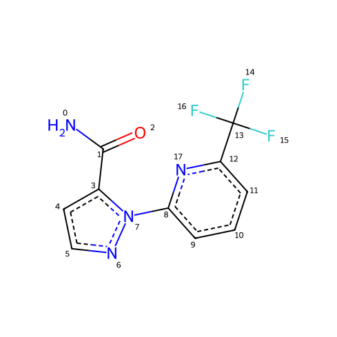 NC(=O)c1ccnn1-c1cccc(C(F)(F)F)n1